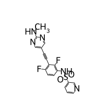 CNc1ncc(C#Cc2c(F)ccc(NS(=O)(=O)c3cccnc3)c2F)cn1